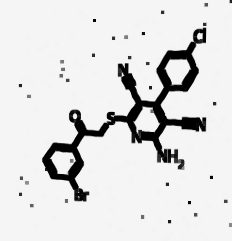 N#Cc1c(N)nc(SCC(=O)c2cccc(Br)c2)c(C#N)c1-c1ccc(Cl)cc1